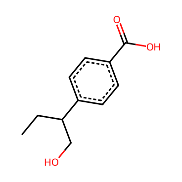 CCC(CO)c1ccc(C(=O)O)cc1